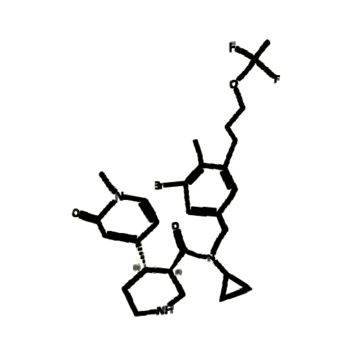 Cc1c(Br)cc(CN(C(=O)[C@H]2CNCC[C@@H]2c2ccn(C)c(=O)c2)C2CC2)cc1CCCOC(C)(F)F